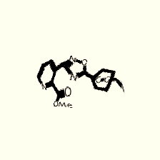 COC(=O)c1ncccc1-c1noc(C23CCC(I)(CC2)CC3)n1